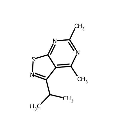 Cc1nc(C)c2c(C(C)C)nsc2n1